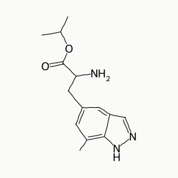 Cc1cc(CC(N)C(=O)OC(C)C)cc2cn[nH]c12